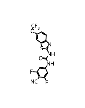 N#Cc1c(F)cc(NC(=O)Nc2nc3ccc(OC(F)(F)F)cc3s2)cc1F